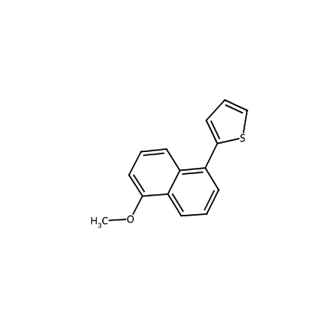 COc1cccc2c(-c3cccs3)cccc12